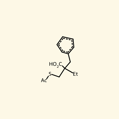 CCC(CSC(C)=O)(Cc1ccccc1)C(=O)O